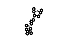 CC1(C)c2cc(-c3ccc4c(c3)-c3ccccc3-c3ccc5ccccc5c3COc3c-4ccc4ccccc34)ccc2-c2ccc(N(c3ccccc3)c3ccc4c(c3)C3(c5ccccc5-c5ccccc53)c3ccccc3-4)cc21